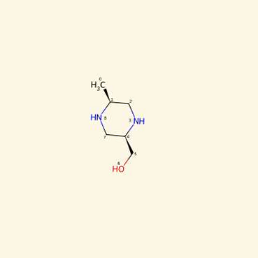 C[C@H]1CN[C@@H](CO)CN1